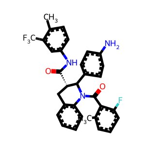 Cc1ccc(NC(=O)[C@H]2Cc3ccccc3N(C(=O)c3c(C)cccc3F)C2c2ccc(N)cc2)cc1C(F)(F)F